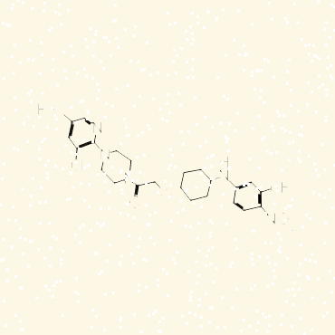 O=C(CO[C@H]1CC[C@H](Nc2ccc([N+](=O)[O-])c(C(F)(F)F)c2)CC1)N1CCN(c2ncc(C(F)(F)F)cc2Cl)CC1